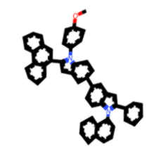 COc1ccc(-n2c(-c3cc4ccccc4c4ccccc34)cc3cc(-c4ccc5c(c4)cc(-c4ccccc4)n5-c4cccc5ccccc45)ccc32)cc1